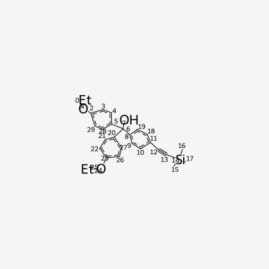 CCOc1ccc(C(O)(c2ccc(C#C[Si](C)(C)C)cc2)c2ccc(OCC)cc2)cc1